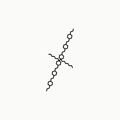 CCCCCCCC1(C2(CCCCCC)CCC(CCC3CCC(CCC4CCC(CCC)CC4)CC3)CC2)CCC(CCC2CCC(CCC3CCC(CCC)CC3)CC2)CC1